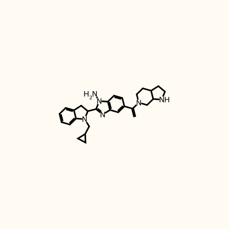 C=C(c1ccc2c(c1)nc(C1Cc3ccccc3N1CC1CC1)n2N)N1CCC2CCNC2C1